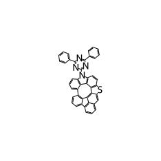 c1ccc(-c2nc(-c3ccccc3)nc(-n3c4cccc5c6cccc7c6c6c8c-7cccc8cc7sc8ccc3c(c8c76)c54)n2)cc1